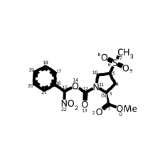 COC(=O)[C@@H]1CC(S(C)(=O)=O)CN1C(=O)OC(c1ccccc1)[N+](=O)[O-]